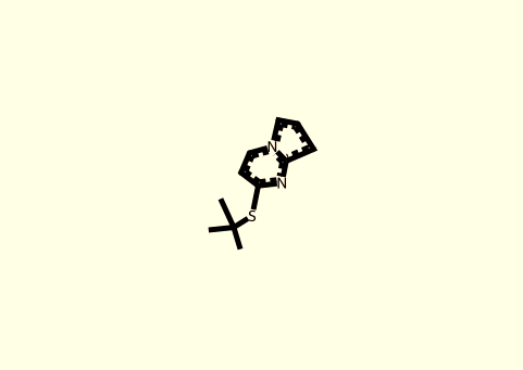 CC(C)(C)Sc1ccn2cccc2n1